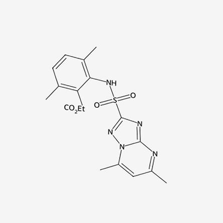 CCOC(=O)c1c(C)ccc(C)c1NS(=O)(=O)c1nc2nc(C)cc(C)n2n1